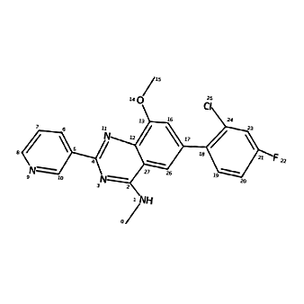 CNc1nc(-c2cccnc2)nc2c(OC)cc(-c3ccc(F)cc3Cl)cc12